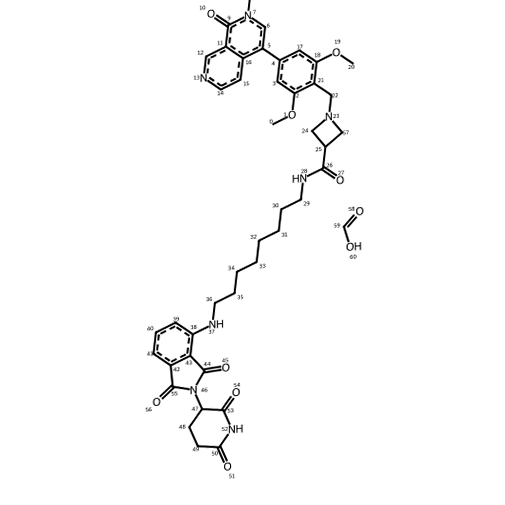 COc1cc(-c2cn(C)c(=O)c3cnccc23)cc(OC)c1CN1CC(C(=O)NCCCCCCCCNc2cccc3c2C(=O)N(C2CCC(=O)NC2=O)C3=O)C1.O=CO